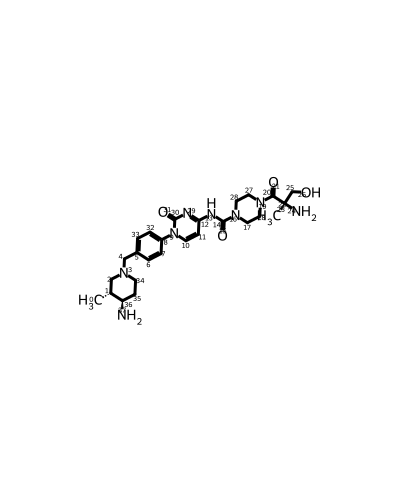 C[C@@H]1CN(Cc2ccc(-n3ccc(NC(=O)N4CCN(C(=O)[C@@](C)(N)CO)CC4)nc3=O)cc2)CC[C@H]1N